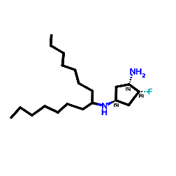 CCCCCCCC(CCCCCCC)N[C@@H]1C[C@@H](F)[C@@H](N)C1